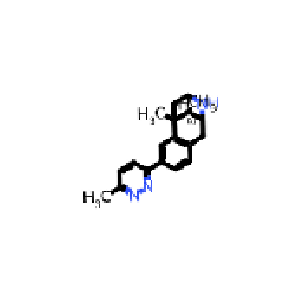 Cc1ccc(-c2ccc3c(c2)C2(C)CCNC(C3)[C@H]2C)nn1